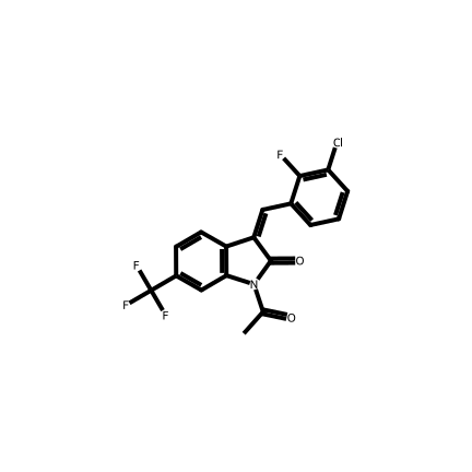 CC(=O)N1C(=O)C(=Cc2cccc(Cl)c2F)c2ccc(C(F)(F)F)cc21